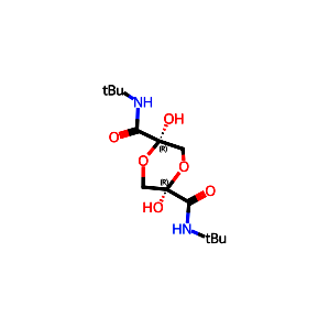 CC(C)(C)NC(=O)[C@@]1(O)CO[C@@](O)(C(=O)NC(C)(C)C)CO1